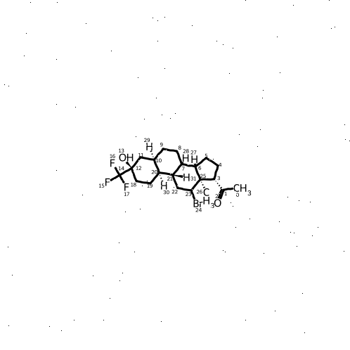 CC(=O)[C@H]1CC[C@H]2[C@@H]3CC[C@@H]4C[C@@](O)(C(F)(F)F)CC[C@@H]4[C@H]3CC(Br)[C@]12C